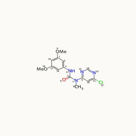 COc1cc(NC(=O)N(C)c2cc(Cl)ncn2)cc(OC)c1